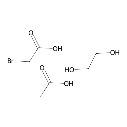 CC(=O)O.O=C(O)CBr.OCCO